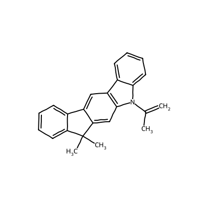 C=C(C)n1c2ccccc2c2cc3c(cc21)C(C)(C)c1ccccc1-3